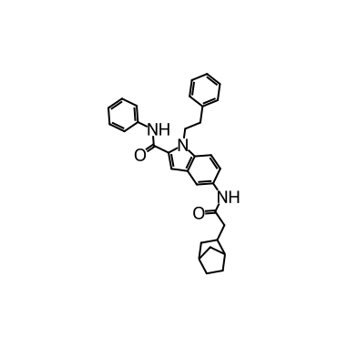 O=C(CC1CC2CCC1C2)Nc1ccc2c(c1)cc(C(=O)Nc1ccccc1)n2CCc1ccccc1